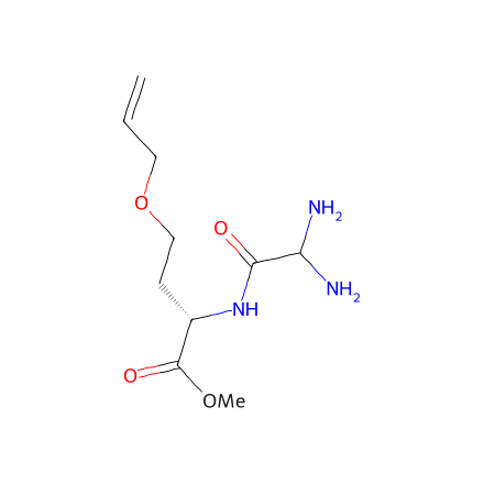 C=CCOCC[C@H](NC(=O)C(N)N)C(=O)OC